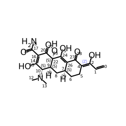 C=C/C(O)=C1\CC[C@H]2C[C@H]3[C@H](N(C)C)C(O)=C(C(N)=O)C(=O)[C@@]3(O)C(O)=C2C1=O